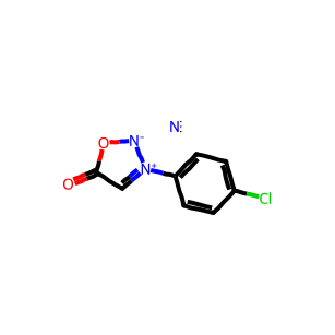 O=c1c[n+](-c2ccc(Cl)cc2)[n-]o1.[N]